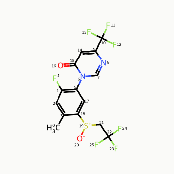 Cc1cc(F)c(-n2cnc(C(F)(F)F)cc2=O)cc1[S+]([O-])CC(F)(F)F